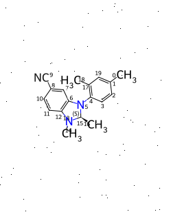 Cc1ccc(N2c3cc(C#N)ccc3N(C)[C@@H]2C)c(C)c1